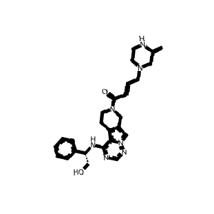 CC1CN(C/C=C/C(=O)N2CCc3c(cn4ncnc(N[C@H](CO)c5ccccc5)c34)C2)CCN1